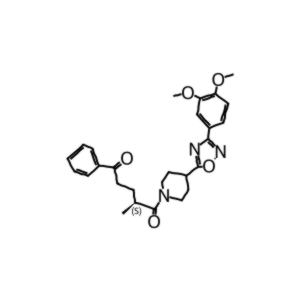 COc1ccc(-c2noc(C3CCN(C(=O)[C@@H](C)CCC(=O)c4ccccc4)CC3)n2)cc1OC